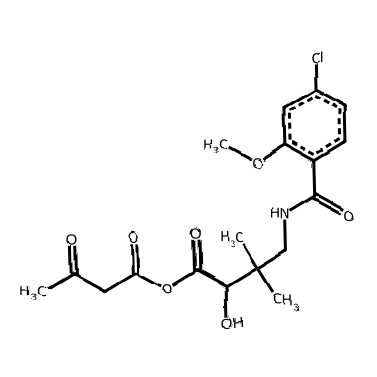 COc1cc(Cl)ccc1C(=O)NCC(C)(C)C(O)C(=O)OC(=O)CC(C)=O